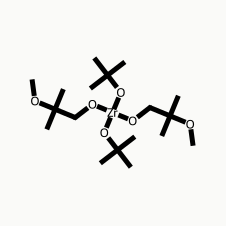 COC(C)(C)C[O][Zr]([O]CC(C)(C)OC)([O]C(C)(C)C)[O]C(C)(C)C